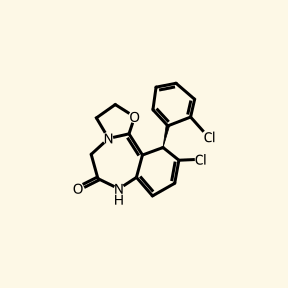 O=C1CN2CCOC2=C2C(=CC=C(Cl)[C@@H]2c2ccccc2Cl)N1